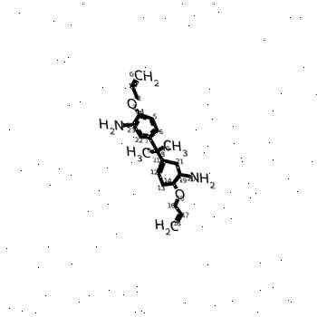 C=CCOc1ccc(C(C)(C)C2=CCC(OCC=C)C(N)C2)cc1N